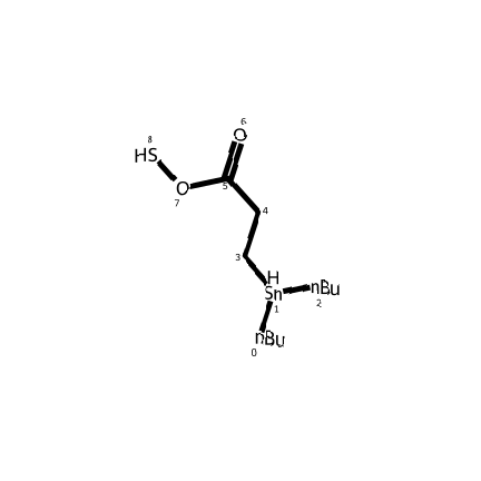 CCC[CH2][SnH]([CH2]CCC)[CH2]CC(=O)OS